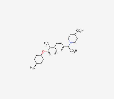 C[C@H]1CC[C@@H](Oc2ccc3cc(C(C(=O)O)N4CCC(C(=O)O)CC4)ccc3c2C(F)(F)F)CC1